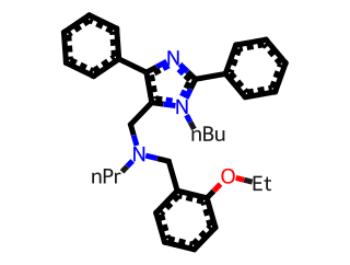 CCCCn1c(-c2ccccc2)nc(-c2ccccc2)c1CN(CCC)Cc1ccccc1OCC